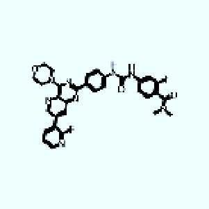 CN(C)C(=O)c1ccc(NC(=O)Nc2ccc(-c3nc(N4CCOCC4)c4ncc(-c5cccnc5F)cc4n3)cc2)cc1F